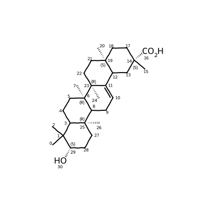 CC1(C)C2CC[C@]3(C)C(CC=C4C5C[C@@](C)(C(=O)O)CC[C@]5(C)CC[C@@]43C)[C@@]2(C)CC[C@@H]1O